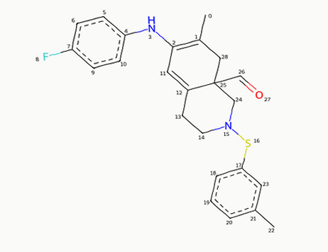 CC1=C(Nc2ccc(F)cc2)C=C2CCN(Sc3cccc(C)c3)CC2(C=O)C1